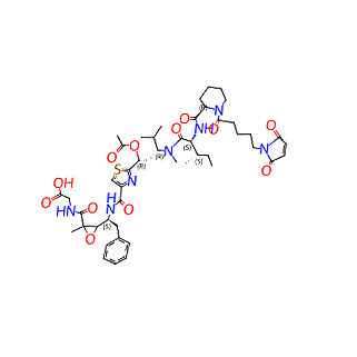 CC[C@H](C)[C@H](NC(=O)[C@H]1CCCCN1C(=O)CCCCN1C(=O)C=CC1=O)C(=O)N(C)[C@H](C[C@@H](OC(C)=O)c1nc(C(=O)N[C@@H](Cc2ccccc2)C2OC2(C)C(=O)NCC(=O)O)cs1)C(C)C